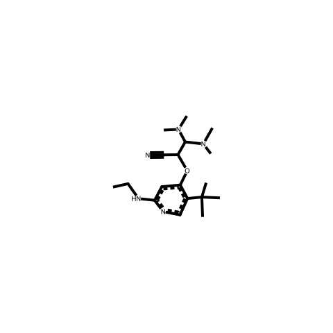 CCNc1cc(OC(C#N)C(N(C)C)N(C)C)c(C(C)(C)C)cn1